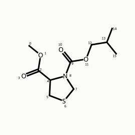 COC(=O)C1CSCN1C(=O)OCC(C)C